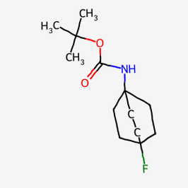 CC(C)(C)OC(=O)NC12CCC(F)(CC1)CC2